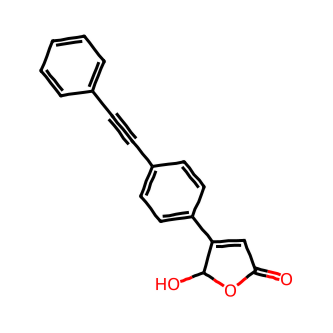 O=C1C=C(c2ccc(C#Cc3ccccc3)cc2)C(O)O1